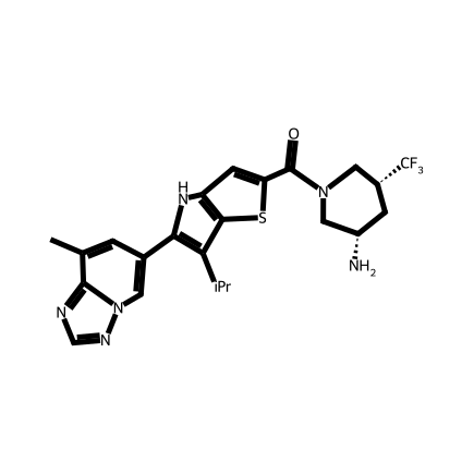 Cc1cc(-c2[nH]c3cc(C(=O)N4C[C@@H](N)C[C@@H](C(F)(F)F)C4)sc3c2C(C)C)cn2ncnc12